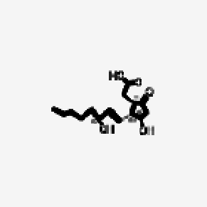 CCCCC[C@H](O)C=C[C@H]1[C@H](O)CC(=O)[C@@H]1CC(=O)O